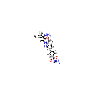 CC1C[C@H](N[C@@H](c2ccc(-c3ccc(S(N)(=O)=O)cc3)cc2)C(F)(F)F)C(=O)C1(N)CC#N